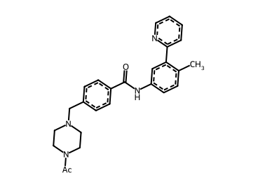 CC(=O)N1CCN(Cc2ccc(C(=O)Nc3ccc(C)c(-c4ccccn4)c3)cc2)CC1